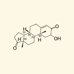 C[C@]12CC(O)C(=O)C=C1CC[C@@H]1[C@@H]2CC[C@]2(C)C(=O)CC[C@@H]12